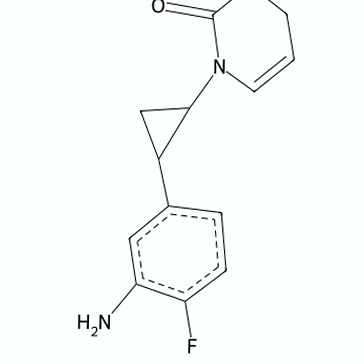 Nc1cc(C2CC2N2C=CCCC2=O)ccc1F